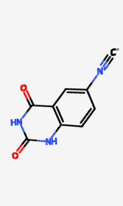 [C-]#[N+]c1ccc2[nH]c(=O)[nH]c(=O)c2c1